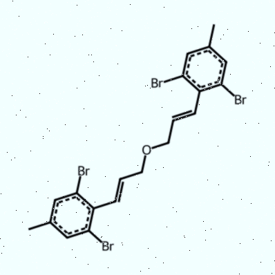 Cc1cc(Br)c(C=CCOCC=Cc2c(Br)cc(C)cc2Br)c(Br)c1